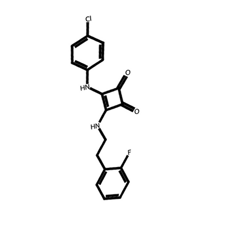 O=c1c(NCCc2ccccc2F)c(Nc2ccc(Cl)cc2)c1=O